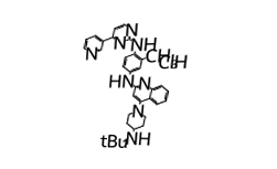 Cc1cc(Nc2cc(N3CCC(NC(C)(C)C)CC3)c3ccccc3n2)ccc1Nc1nccc(-c2cccnc2)n1.Cl